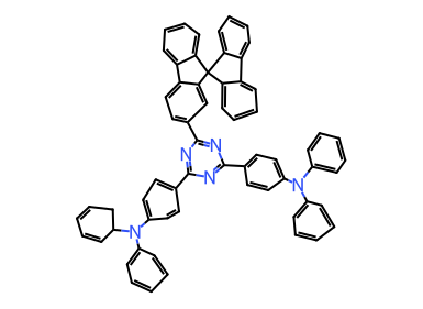 C1=CCC(N(c2ccccc2)c2ccc(-c3nc(-c4ccc(N(c5ccccc5)c5ccccc5)cc4)nc(-c4ccc5c(c4)C4(c6ccccc6-c6ccccc64)c4ccccc4-5)n3)cc2)C=C1